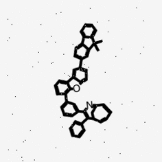 CC1(C)c2ccccc2-c2ccc(-c3ccc4oc5c(-c6cccc(C7=C(c8ccccc8)C8C=CC=CC(=N7)C8)c6)cccc5c4c3)cc21